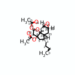 C=CCC[C@@H]1C[C@]2(OC(C)=O)C[C@@H](OC(C)=O)O[C@@]23C[C@H]2O[C@H]2C[C@H]13